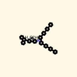 C[Si]1(C)c2cc(-c3cc4ccccc4c4ccccc34)ccc2-c2ccc(-n3c4ccc(-c5ccc(-c6ccc(-c7ccccc7)cc6)cc5)cc4c4cc(-c5ccc(-c6ccc(-c7ccccc7)cc6)cc5)ccc43)cc21